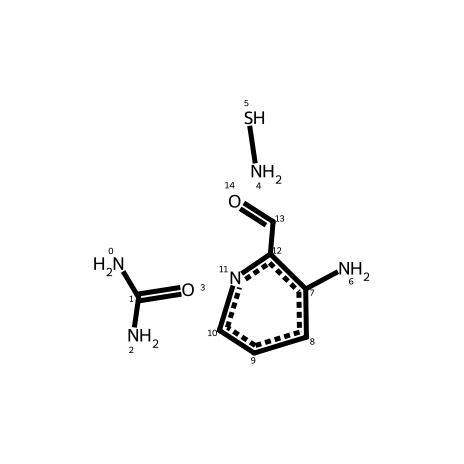 NC(N)=O.NS.Nc1cccnc1C=O